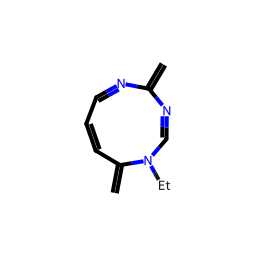 C=c1ncccc(=C)n(CC)cn1